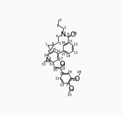 CCCN(CCC1CC1)C(=O)c1cccc(C2=C3OC(c4ccc(OC)c(OC)c4)=CC3N(C)C=C2)c1